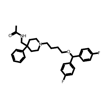 CC(=O)NCC1(c2ccccc2)CCN(CCCCOC(c2ccc(F)cc2)c2ccc(F)cc2)CC1